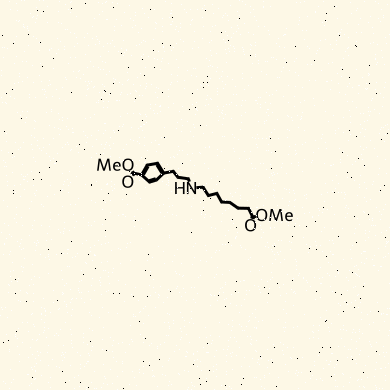 COC(=O)CCCCCCCNCCCc1ccc(C(=O)OC)cc1